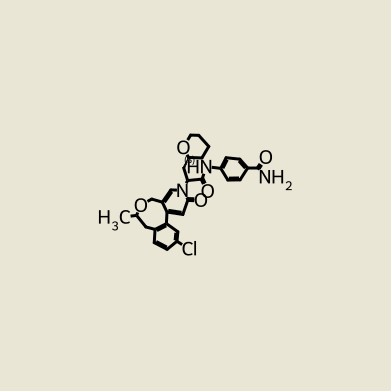 CC1Cc2ccc(Cl)cc2-c2cc(=O)n(C(C[C@@H]3CCCCO3)C(=O)Nc3ccc(C(N)=O)cc3)cc2CO1